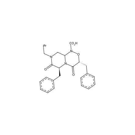 CC(C)CN1CC2N(C(=O)O)O[C@H](Cc3ccccc3)C(=O)N2[C@@H](Cc2ccccc2)C1=O